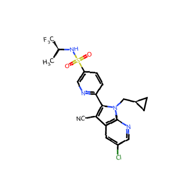 C[C@H](NS(=O)(=O)c1ccc(-c2c(C#N)c3cc(Cl)cnc3n2CC2CC2)nc1)C(F)(F)F